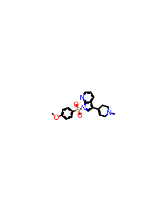 COc1ccc(S(=O)(=O)n2cc(C3=CCN(C)CC3)c3cccnc32)cc1